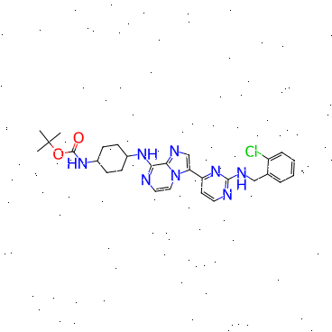 CC(C)(C)OC(=O)NC1CCC(Nc2nccn3c(-c4ccnc(NCc5ccccc5Cl)n4)cnc23)CC1